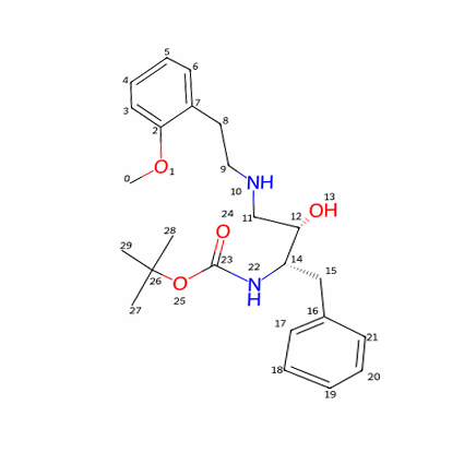 COc1ccccc1CCNC[C@H](O)[C@H](Cc1ccccc1)NC(=O)OC(C)(C)C